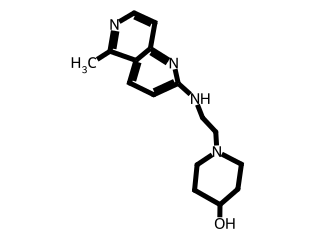 Cc1nccc2nc(NCCN3CCC(O)CC3)ccc12